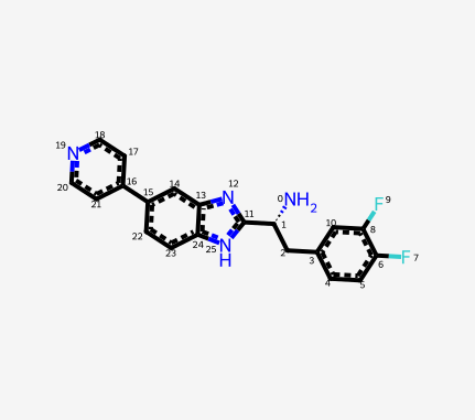 N[C@H](Cc1ccc(F)c(F)c1)c1nc2cc(-c3ccncc3)ccc2[nH]1